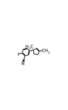 CC1=C[C@](C)(c2ccc(I)c(C#N)c2)CC1